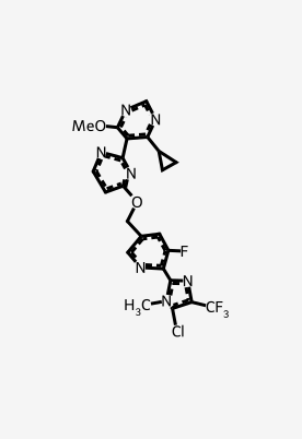 COc1ncnc(C2CC2)c1-c1nccc(OCc2cnc(-c3nc(C(F)(F)F)c(Cl)n3C)c(F)c2)n1